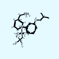 CC(C)COc1cccc([N+]2(S(=O)(=O)CC(F)(F)F)C=C(CN)C=CC2)c1